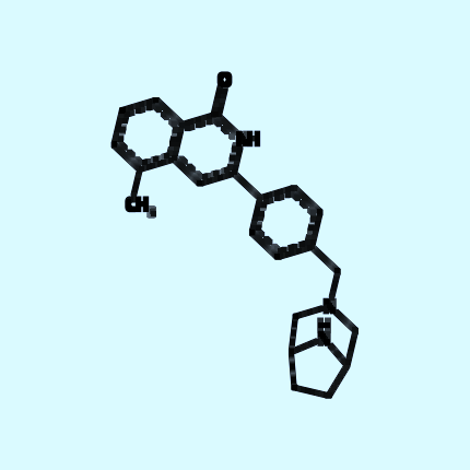 Cc1cccc2c(=O)[nH]c(-c3ccc(CN4CC5CCC(C4)N5)cc3)cc12